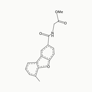 COC(=O)CNC(=O)c1ccc2oc3c(C)cccc3c2c1